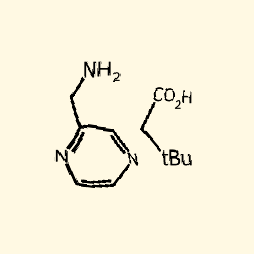 CC(C)(C)CC(=O)O.NCc1cnccn1